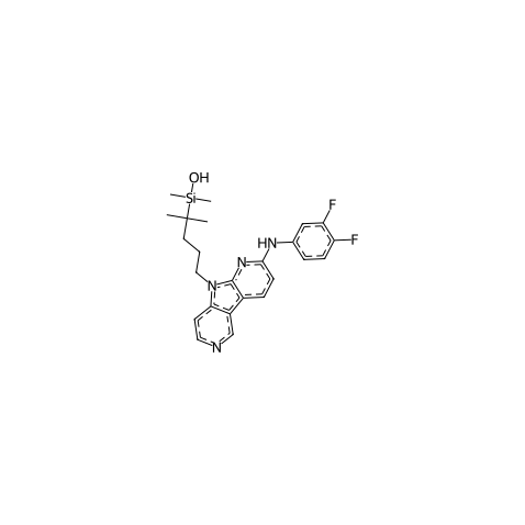 CC(C)(CCCn1c2ccncc2c2ccc(Nc3ccc(F)c(F)c3)nc21)[Si](C)(C)O